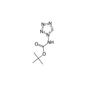 CC(C)(C)OC(=O)Nn1cnnn1